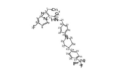 CCc1nc2cc(F)ccn2c1C(=O)NCc1ccc(N2CCC(c3ccc(C(F)(F)F)cc3)CC2)cc1